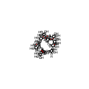 O=C(O[C@@H]1O[C@@H]2COC(=O)c3cc4c(O)c(O)c3-c3c(cc(O)c(O)c3O)C(=O)O[C@H]2[C@H](OC(=O)c2cc(O)c(O)c(O)c2)[C@H]1OC(=O)c1cc(O)c(O)c(O)c1Oc1cc2c(c(O)c1O)-c1c(cc(O)c(O)c1O)C(=O)OC[C@H]1OC(O)[C@H](OC(=O)c3cc(O)c(O)c(O)c3O4)[C@@H](OC(=O)c3cc(O)c(O)c(O)c3)[C@@H]1OC2=O)c1cc(O)c(O)c(O)c1